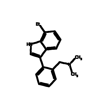 CCc1cccc2c(-c3ccccc3CN(C)C)c[nH]c12